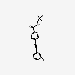 CC(C)(C)CNC(=O)c1ncc(C#Cc2cccc(F)c2)cn1